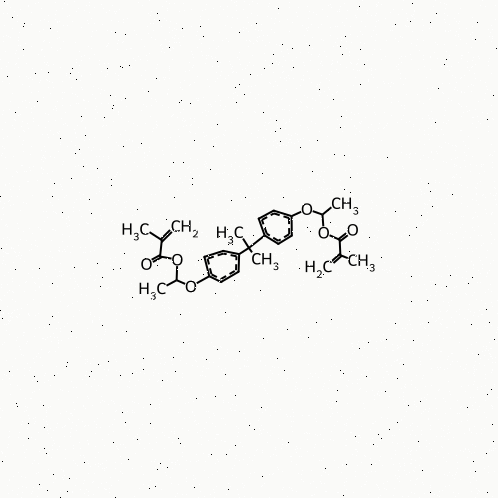 C=C(C)C(=O)OC(C)Oc1ccc(C(C)(C)c2ccc(OC(C)OC(=O)C(=C)C)cc2)cc1